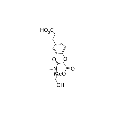 COC(=O)C(Oc1ccc(CCC(=O)O)cc1)C(=O)N(C)CCO